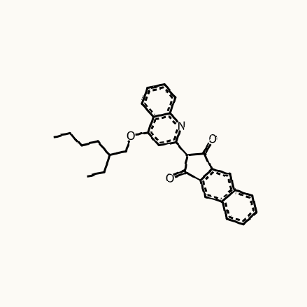 CCCCC(CC)COc1cc(C2C(=O)c3cc4ccccc4cc3C2=O)nc2ccccc12